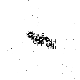 CC(C)(C)OC(=O)NC1CCN(c2c(F)c(F)c(C(=O)OCc3ccccc3)c(F)c2F)C1